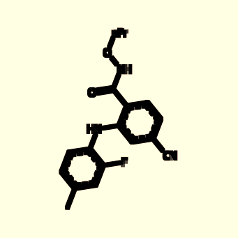 CCCONC(=O)c1ccc(C#N)cc1Nc1ccc(C)cc1F